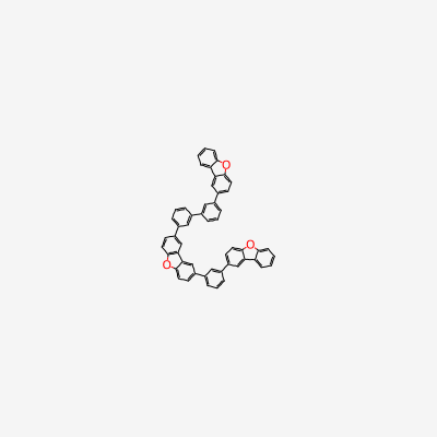 c1cc(-c2cccc(-c3ccc4oc5ccc(-c6cccc(-c7ccc8oc9ccccc9c8c7)c6)cc5c4c3)c2)cc(-c2ccc3oc4ccccc4c3c2)c1